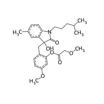 COCC(=O)Oc1cc(OC)ccc1CC1(O)C(=O)N(CCCC(C)C)c2ccc(C)cc21